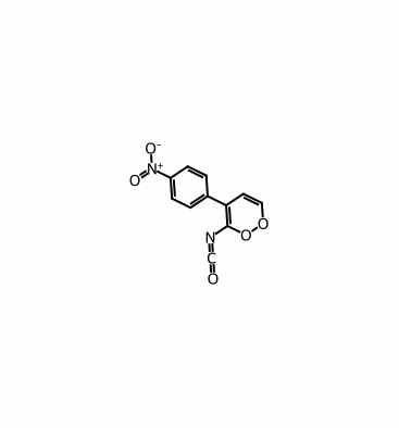 O=C=NC1=C(c2ccc([N+](=O)[O-])cc2)C=COO1